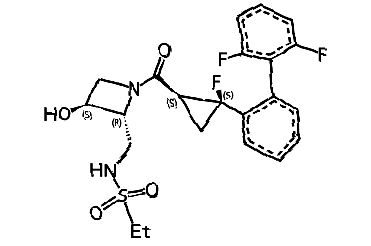 CCS(=O)(=O)NC[C@@H]1[C@@H](O)CN1C(=O)[C@@H]1C[C@@]1(F)c1ccccc1-c1c(F)cccc1F